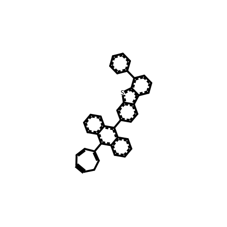 C1#CCC=C(c2c3ccccc3c(-c3ccc4c(c3)sc3c(-c5ccccc5)cccc34)c3ccccc23)C=C1